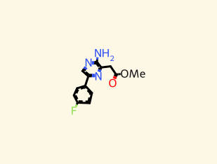 COC(=O)Cc1nc(-c2ccc(F)cc2)cnc1N